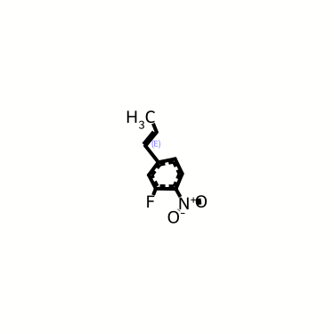 C/C=C/c1ccc([N+](=O)[O-])c(F)c1